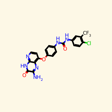 Nc1nc2c(Oc3ccc(NC(=O)Nc4ccc(Cl)c(C(F)(F)F)c4)cc3)ccnc2[nH]c1=O